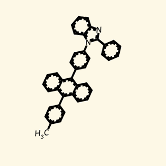 Cc1ccc(-c2c3ccccc3c(-c3ccc(-n4c(-c5ccccc5)nc5ccccc54)cc3)c3ccccc23)cc1